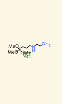 CO[Si](CCCNCCN)(OC)OC.Cl.Cl